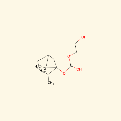 CC1CCC2CC1(OB(O)OCCO)C2(C)C